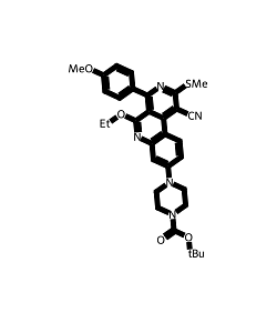 CCOc1nc2cc(N3CCN(C(=O)OC(C)(C)C)CC3)ccc2c2c(C#N)c(SC)nc(-c3ccc(OC)cc3)c12